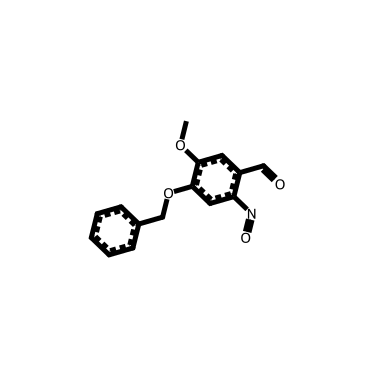 COc1cc(C=O)c(N=O)cc1OCc1ccccc1